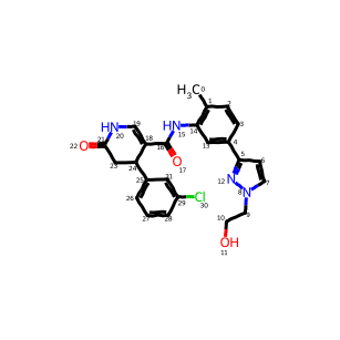 Cc1ccc(-c2ccn(CCO)n2)cc1NC(=O)C1=CNC(=O)CC1c1cccc(Cl)c1